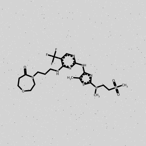 Cc1sc(N(C)CCS(C)(=O)=O)nc1Nc1ncc(C(F)(F)F)c(NCCCN2CCOCCC2=O)n1